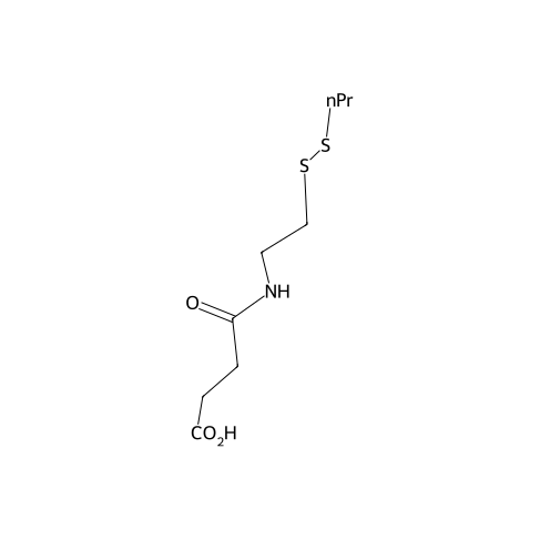 CCCSSCCNC(=O)CCC(=O)O